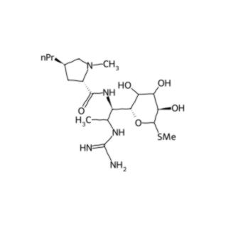 CCC[C@@H]1C[C@@H](C(=O)N[C@H](C(C)NC(=N)N)[C@H]2OC(SC)[C@H](O)C(O)C2O)N(C)C1